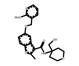 COc1ncccc1COc1ccc2oc(C)c(C(=O)NC3(CO)CCOCC3)c2c1